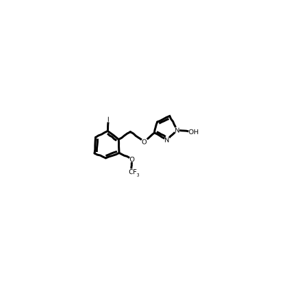 On1ccc(OCc2c(I)cccc2OC(F)(F)F)n1